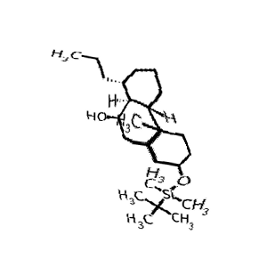 CCC[C@@H]1CCC[C@H]2[C@H]1[C@H](O)CC1CC(O[Si](C)(C)C(C)(C)C)CCC12C